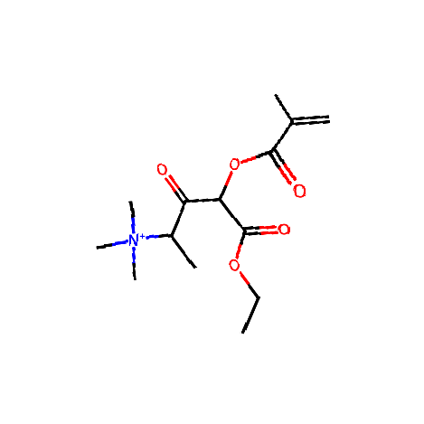 C=C(C)C(=O)OC(C(=O)OCC)C(=O)C(C)[N+](C)(C)C